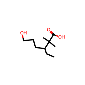 CCC(CCCO)C(C)(C)C(=O)O